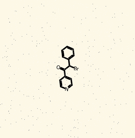 O=C(c1ccncc1)C(Br)c1ccccc1